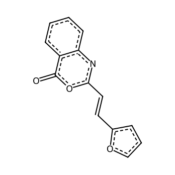 O=c1oc(C=Cc2ccco2)nc2ccccc12